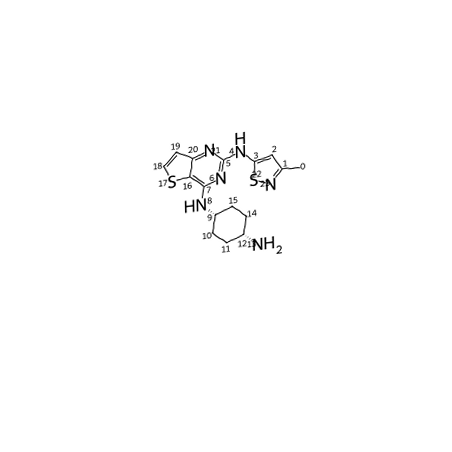 Cc1cc(Nc2nc(N[C@H]3CC[C@@H](N)CC3)c3sccc3n2)sn1